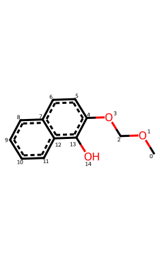 COCOc1ccc2ccccc2c1O